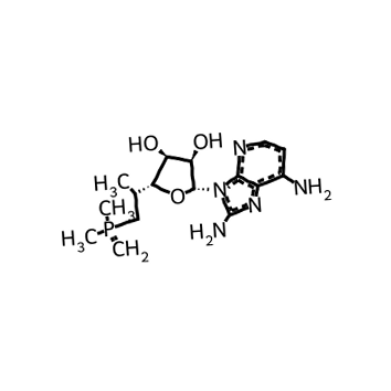 C=P(C)(C)CC(C)[C@H]1O[C@@H](n2c(N)nc3c(N)ccnc32)[C@H](O)[C@@H]1O